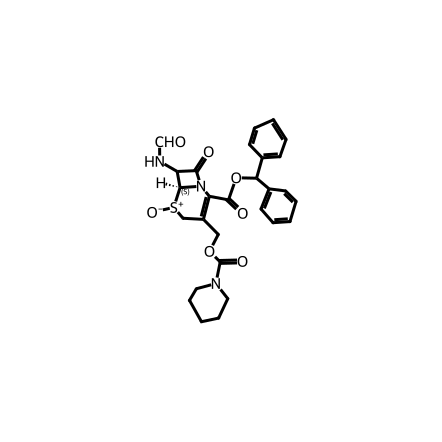 O=CNC1C(=O)N2C(C(=O)OC(c3ccccc3)c3ccccc3)=C(COC(=O)N3CCCCC3)C[S+]([O-])[C@@H]12